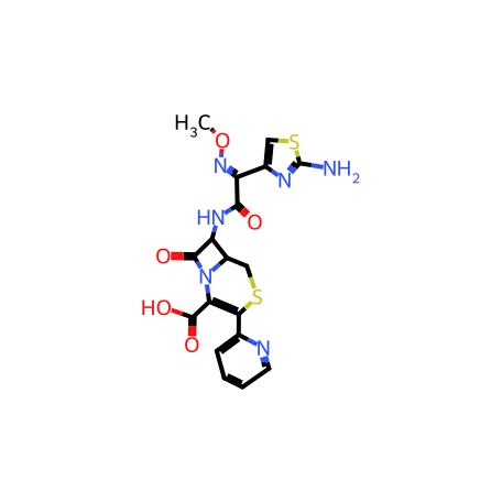 CON=C(C(=O)NC1C(=O)N2C(C(=O)O)=C(c3ccccn3)SCC12)c1csc(N)n1